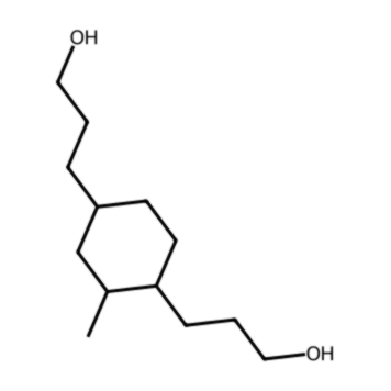 CC1CC(CCCO)CCC1CCCO